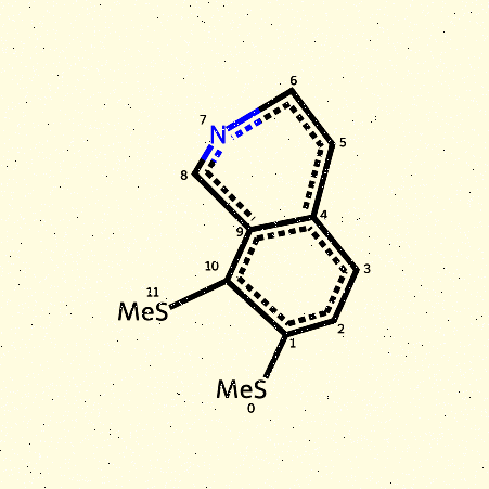 CSc1ccc2ccncc2c1SC